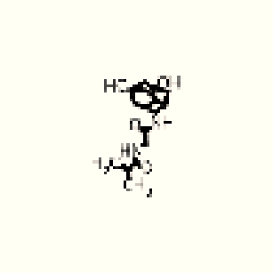 C=C(C)C(=O)NCC(=O)NC1C2CC3(O)CC1CC(O)(C2)C3